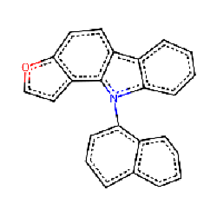 c1ccc2c(-n3c4ccccc4c4ccc5occc5c43)cccc2c1